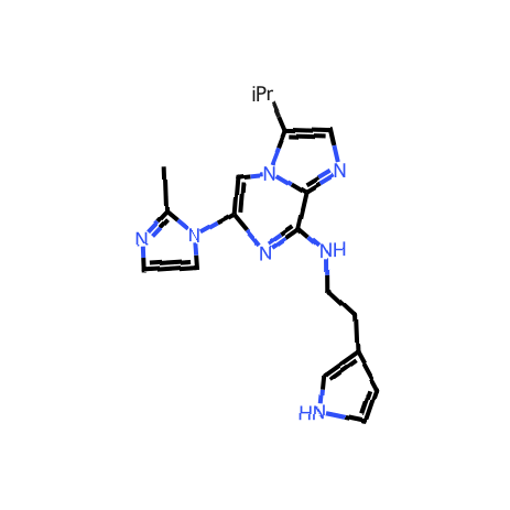 Cc1nccn1-c1cn2c(C(C)C)cnc2c(NCCc2cc[nH]c2)n1